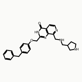 O=c1[nH]c(COc2ccc(Cc3ccccc3)cc2)nc2c(CNCC3CCNC3)nccc12